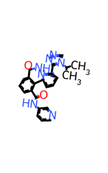 CC(C)n1cnnc1-c1cccc(-c2c(C(N)=O)cccc2C(=O)Nc2cccnc2)n1